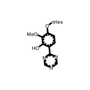 CCCCCCOc1ccc(-c2ncncn2)c(O)c1OC